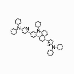 c1ccc(N(c2ccccc2)c2ccc(-c3ccc4c(c3)N(c3ccccc3)c3cccc5c(-c6ccc(N(c7ccccc7)c7ccccc7)s6)ccc-4c35)nc2)cc1